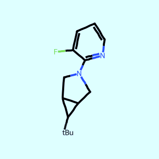 CC(C)(C)C1C2CN(c3ncccc3F)CC21